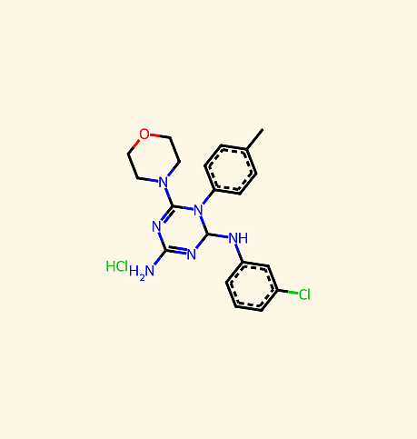 Cc1ccc(N2C(N3CCOCC3)=NC(N)=NC2Nc2cccc(Cl)c2)cc1.Cl